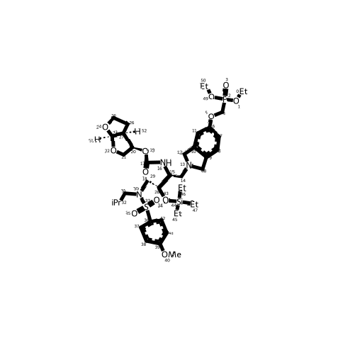 CCOP(=O)(COc1ccc2c(c1)CN(C[C@H](NC(=O)O[C@H]1CO[C@H]3OCC[C@H]31)[C@@H](CN(CC(C)C)S(=O)(=O)c1ccc(OC)cc1)O[Si](CC)(CC)CC)C2)OCC